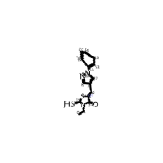 CCN1C(=O)/C(=C/c2cnn(-c3ccccc3)c2)SC1S